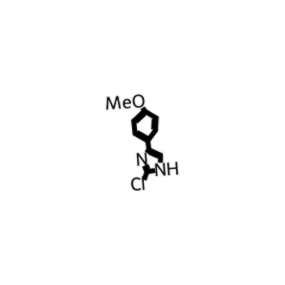 COc1ccc(-c2c[nH]c(Cl)n2)cc1